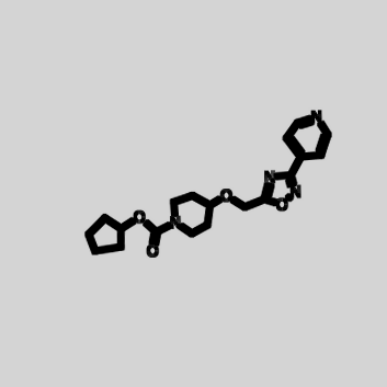 O=C(OC1CCCC1)N1CCC(OCc2nc(-c3ccncc3)no2)CC1